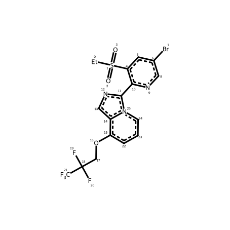 CCS(=O)(=O)c1cc(Br)cnc1-c1ncc2c(OCC(F)(F)C(F)(F)F)cccn12